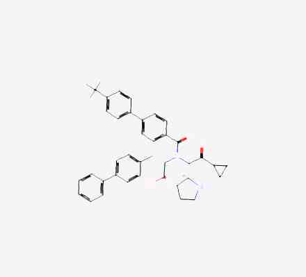 O=C(C1CC1)C([C@H]1CCCN1)N(C(=O)c1ccc(-c2ccc(C(F)(F)F)cc2)cc1)[C@@H](Cc1ccc(-c2ccccc2)cc1)C(=O)O